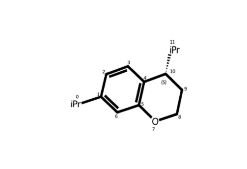 CC(C)c1ccc2c(c1)OCC[C@H]2C(C)C